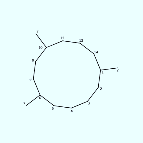 CC1CCCCC(C)CCC(C)CCC1